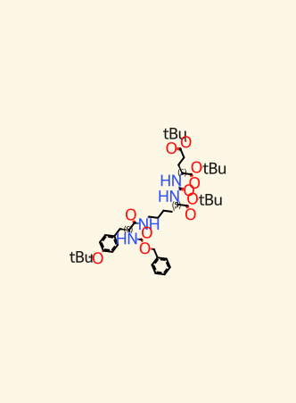 CC(C)(C)OC(=O)CC[C@H](NC(=O)N[C@@H](CCCCNC(=O)[C@H](Cc1ccc(OC(C)(C)C)cc1)NC(=O)OCc1ccccc1)C(=O)OC(C)(C)C)C(=O)OC(C)(C)C